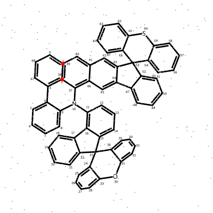 c1ccc(-c2ccccc2N(c2cccc3c2-c2ccccc2C32c3ccccc3Oc3ccccc32)c2cccc3cc4c(cc23)-c2ccccc2C42c3ccccc3Sc3ccccc32)cc1